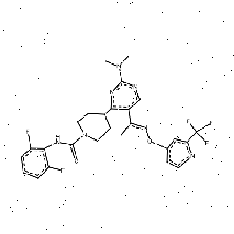 C/C(=N\Oc1ccnc(C(F)(F)F)c1)c1cnc(N(C)C)nc1C1CCN(C(=O)Nc2c(F)cccc2F)CC1